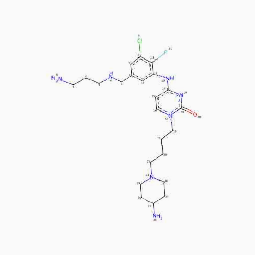 NCCCNCc1cc(Cl)c(F)c(Nc2ccn(CCCCN3CCC(N)CC3)c(=O)n2)c1